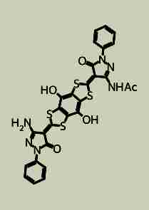 CC(=O)NC1=NN(c2ccccc2)C(=O)C1=C1Sc2c(O)c3c(c(O)c2S1)SC(=C1C(=O)N(c2ccccc2)N=C1N)S3